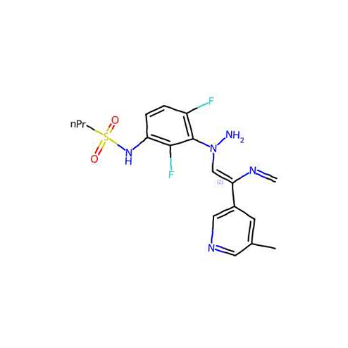 C=N/C(=C\N(N)c1c(F)ccc(NS(=O)(=O)CCC)c1F)c1cncc(C)c1